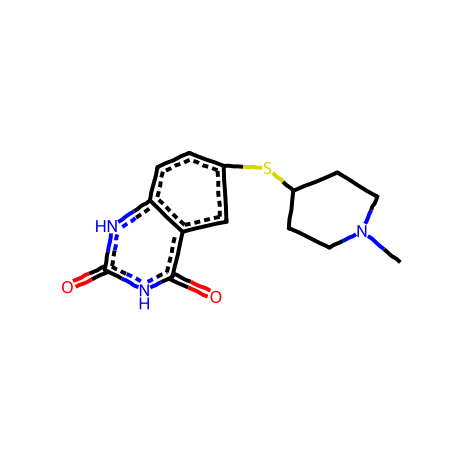 CN1CCC(Sc2ccc3[nH]c(=O)[nH]c(=O)c3c2)CC1